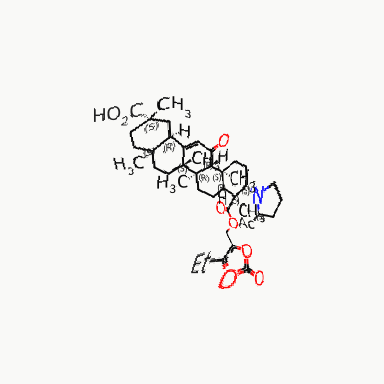 CCc1oc(=O)oc1COC(=O)[C@]1(C)[C@@H](N2CCC[C@H]2C(C)=O)CC[C@@]2(C)[C@H]1CC[C@]1(C)[C@@H]2C(=O)C=C2[C@@H]3C[C@@](C)(C(=O)O)CC[C@]3(C)CC[C@]21C